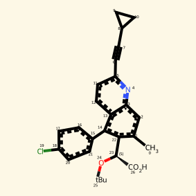 Cc1cc2nc(C#CC3CC3)ccc2c(-c2ccc(Cl)cc2)c1[C@H](OC(C)(C)C)C(=O)O